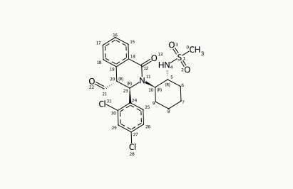 CS(=O)(=O)N[C@@H]1CCCC[C@H]1N1C(=O)c2ccccc2[C@@H](C=O)[C@@H]1c1ccc(Cl)cc1Cl